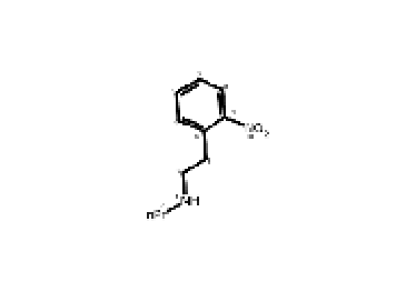 CCCNCCc1ccccc1[N+](=O)[O-]